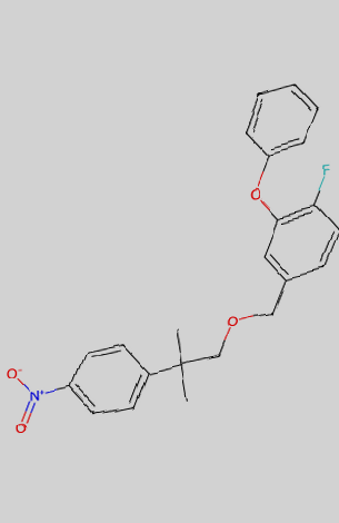 CC(C)(COCc1ccc(F)c(Oc2ccccc2)c1)c1ccc([N+](=O)[O-])cc1